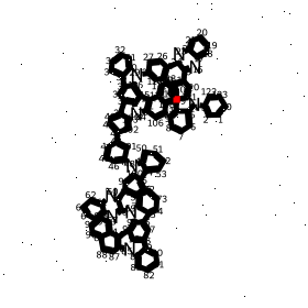 c1ccc(-n2c3ccccc3c3ccc(-c4nc5ccccc5nc4-c4ccc(-n5c6ccccc6c6cc7c8ccc(-c9cccc(-n%10c%11ccccc%11c%11ccc(-c%12nc%13ccccc%13nc%12-n%12c%13ccccc%13c%13cc%14c%15ccccc%15n%15c%16ccc%17ccccc%17c%16c(c%13%12)c%14%15)cc%11%10)c9)cc8n8c9ccc%10ccccc%10c9c(c65)c78)cc4)cc32)cc1